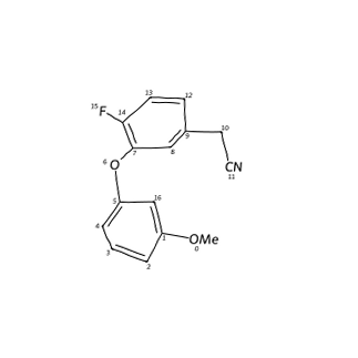 COc1cccc(Oc2cc(CC#N)ccc2F)c1